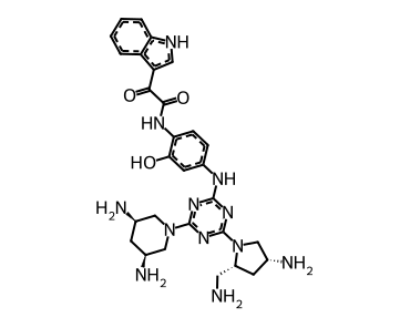 NC[C@H]1C[C@@H](N)CN1c1nc(Nc2ccc(NC(=O)C(=O)c3c[nH]c4ccccc34)c(O)c2)nc(N2C[C@H](N)C[C@H](N)C2)n1